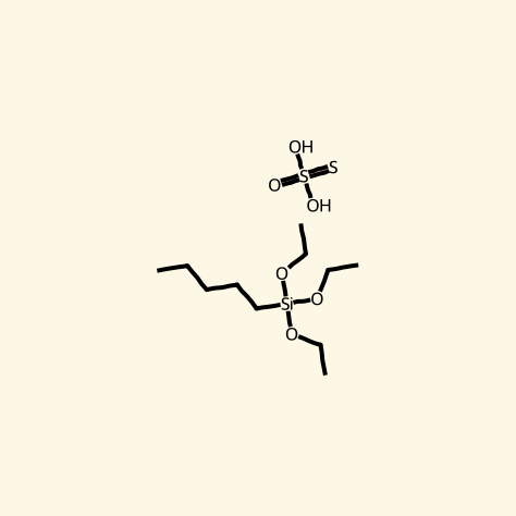 CCCCC[Si](OCC)(OCC)OCC.O=S(O)(O)=S